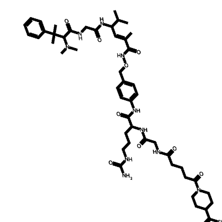 C/C(=C\C(NC(=O)CNC(=O)C(N(C)C)C(C)(C)c1ccccc1)C(C)C)C(=O)NOCc1ccc(NC(=O)C(CCCNC(N)=O)NC(=O)CNC(=O)CCCC(=O)N2CCC(C(=O)S)CC2)cc1